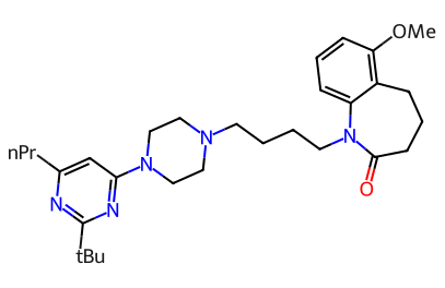 CCCc1cc(N2CCN(CCCCN3C(=O)CCCc4c(OC)cccc43)CC2)nc(C(C)(C)C)n1